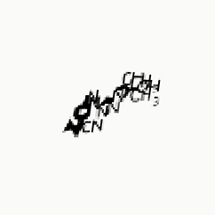 CC1CN(c2cc(-n3ncc4ccc([C@@]5(C#N)CC56CC6)cc43)ncn2)CC1C(C)(C)O